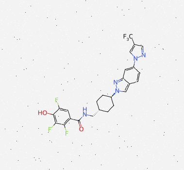 O=C(NC[C@H]1CC[C@H](n2cc3ccc(-n4cc(C(F)(F)F)cn4)cc3n2)CC1)c1cc(F)c(O)c(F)c1F